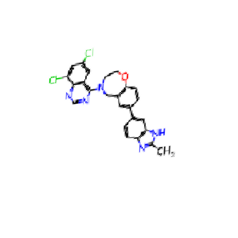 Cc1nc2ccc(-c3ccc4c(c3)CN(c3ncnc5c(Cl)cc(Cl)cc35)CCO4)cc2[nH]1